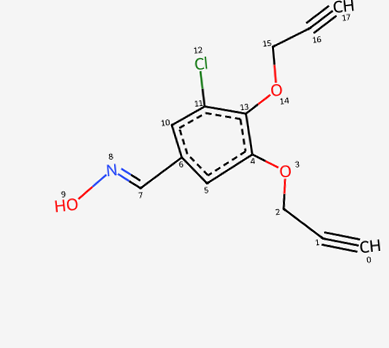 C#CCOc1cc(C=NO)cc(Cl)c1OCC#C